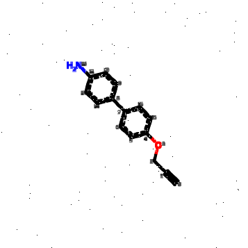 C#CCOc1ccc(-c2ccc(N)cc2)cc1